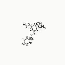 CC1CC(C)(C)NC(CCSc2ccccc2)O1